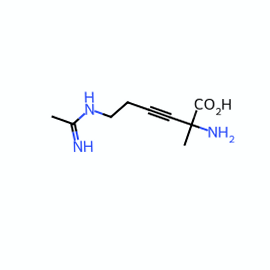 CC(=N)NCCC#CC(C)(N)C(=O)O